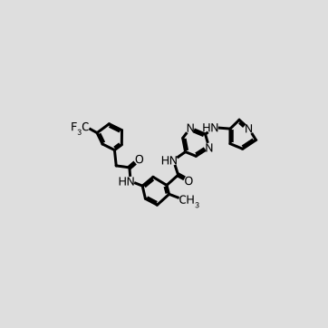 Cc1ccc(NC(=O)Cc2cccc(C(F)(F)F)c2)cc1C(=O)Nc1cnc(Nc2cccnc2)nc1